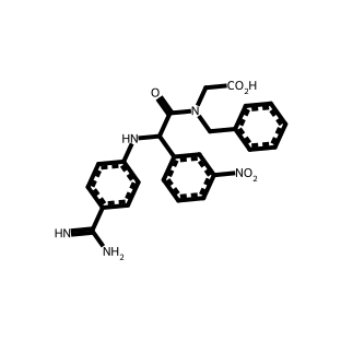 N=C(N)c1ccc(NC(C(=O)N(CC(=O)O)Cc2ccccc2)c2cccc([N+](=O)[O-])c2)cc1